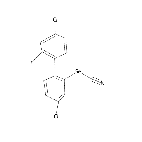 N#C[Se]c1cc(Cl)ccc1-c1ccc(Cl)cc1I